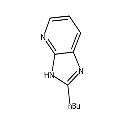 CCCCc1nc2cccnc2[nH]1